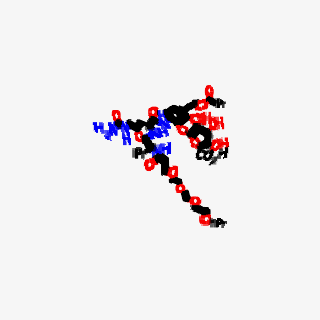 CCCOCCOCCOCCOCCC(=O)N[C@H](C(=O)N[C@@H](CCCNC(N)=O)C(=O)Nc1ccc(COC(=O)C(C)C)cc1O[C@@H]1O[C@H](C(=O)O)[C@@H](O)[C@H](O)[C@H]1O)C(C)C